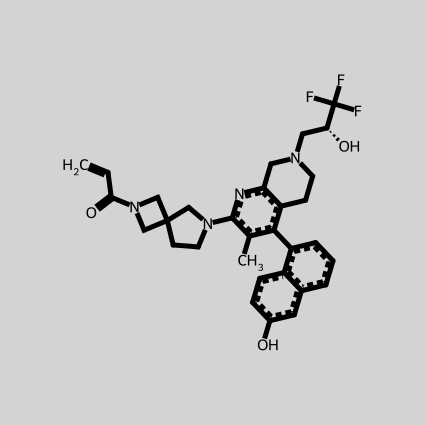 C=CC(=O)N1CC2(CCN(c3nc4c(c(-c5cccc6cc(O)ccc56)c3C)CCN(C[C@@H](O)C(F)(F)F)C4)C2)C1